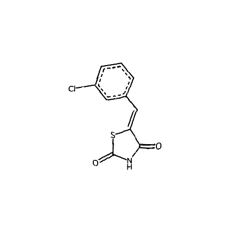 O=C1NC(=O)C(=Cc2cccc(Cl)c2)S1